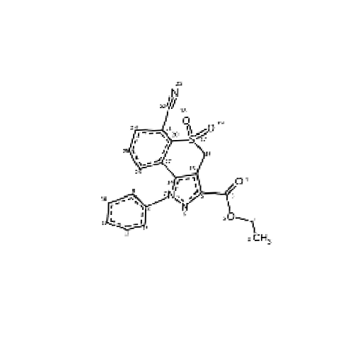 CCOC(=O)c1nn(-c2ccccc2)c2c1CS(=O)(=O)c1c(C#N)cccc1-2